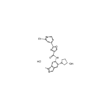 CCc1cc(-c2nc(C(=O)Nc3cc4c(cnn4C)cc3N3CC[C@H](O)C3)co2)ccn1.Cl